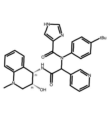 CN1C[C@@H](O)[C@@H](NC(=O)C(c2cccnc2)N(C(=O)c2c[nH]cn2)c2ccc(C(C)(C)C)cc2)c2ccccc21